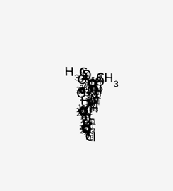 COC(=O)c1cc(OC)c2nc(CN3C[C@@H]4C(c5cccc(OCc6ccc(Cl)cc6F)n5)[C@@H]4C3)n(C[C@@H]3CCO3)c2c1